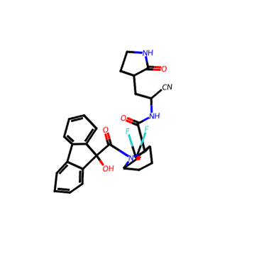 N#CC(CC1CCNC1=O)NC(=O)C1C2CCC(CC2(F)F)N1C(=O)C1(O)c2ccccc2-c2ccccc21